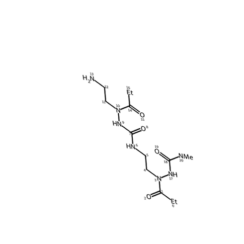 CCC(=O)N(CCNC(=O)NN(CCN)C(=O)CC)NC(=O)NC